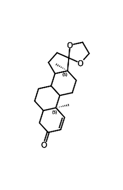 C[C@]12C=CC(=O)CC1CCC1C2CC[C@@]2(C)C1CCC21OCCO1